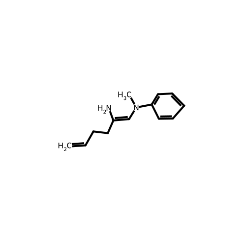 C=CCC/C(N)=C/N(C)c1ccccc1